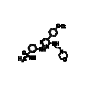 CCOc1ccc(-c2cnc(Nc3cccc(S(C)(=N)=O)c3)nc2NCCN2CCOCC2)cc1